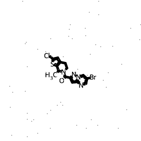 CC1c2sc(Cl)cc2CCN1C(=O)c1cc2ncc(Br)cn2n1